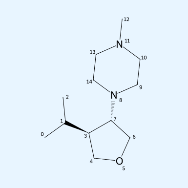 CC(C)[C@@H]1COC[C@H]1N1CCN(C)CC1